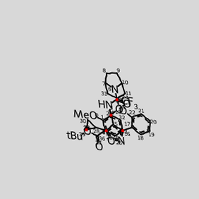 COc1c(NC(=O)N2C3CCC2CC(OCc2c(-c4ccccc4OC(F)(F)F)noc2C2CC2)C3)cccc1C(=O)OC(C)(C)C